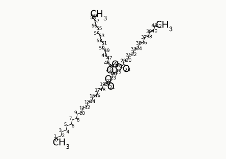 CCCCCCCCCCCCCCCCCCCCC(=O)OC[C@@H](COC(=O)CCCCCCCCCCCCCC)OC(=O)CCCCCCCCCCCCCC